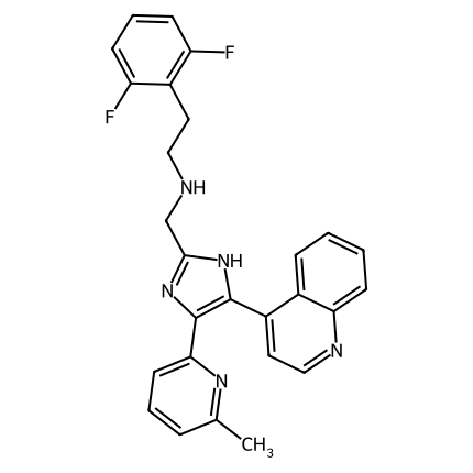 Cc1cccc(-c2nc(CNCCc3c(F)cccc3F)[nH]c2-c2ccnc3ccccc23)n1